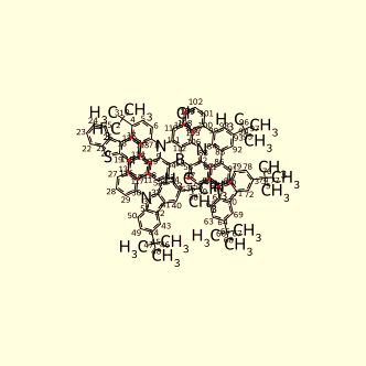 CC(C)(C)c1ccc(N2c3cc(-c4c(-c5cccc6c5sc5ccccc56)cccc4-n4c5ccc(C(C)(C)C)cc5c5cc(C(C)(C)C)ccc54)ccc3B3c4ccc(-n5c6ccc(C(C)(C)C)cc6c6cc(C(C)(C)C)ccc65)cc4N(c4c(-c5ccccc5)cc(C(C)(C)C)cc4-c4ccccc4)c4cc(Cl)cc2c43)c(-c2ccccc2)c1